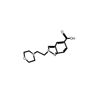 O=C(O)c1ccc2nn(CCN3CCOCC3)cc2c1